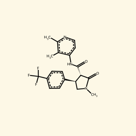 Cc1nccc(NC(=O)[C@@H]2C(=O)N(C)C[C@H]2c2ccc(C(F)(F)F)cc2)c1C